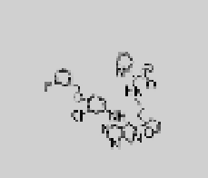 O=S(=O)=C(CNCCCC1(c2cc3c(Nc4ccc(OCc5cccc(F)c5)c(Cl)c4)ncnc3cn2)CC=CO1)c1ccccn1